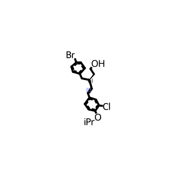 CC(C)Oc1ccc(/C=C/[C@H](CCO)Cc2ccc(Br)cc2)cc1Cl